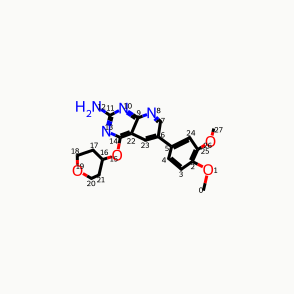 COc1ccc(-c2cnc3nc(N)nc(OC4CCOCC4)c3c2)cc1OC